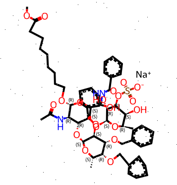 COC(=O)CCCCCCCCO[C@@H]1O[C@H](C(O)NC(=O)c2ccccc2)[C@@H](O[C@@H]2O[C@H](C)[C@H](O)[C@H](OS(=O)(=O)[O-])[C@H]2O)[C@H](O[C@@H]2O[C@@H](C)[C@@H](OCc3ccccc3)[C@@H](OCc3ccccc3)[C@@H]2OCc2ccccc2)[C@H]1NC(C)=O.[Na+]